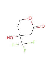 O=C1CC(O)(C(F)(F)F)CCO1